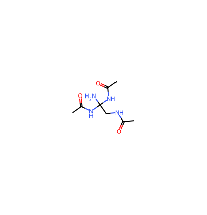 CC(=O)NCC(N)(NC(C)=O)NC(C)=O